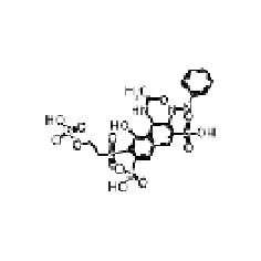 CC(=O)Nc1c(N=Nc2ccccc2)c(S(=O)(=O)O)cc2cc(S(=O)(=O)O)c(S(=O)(=O)CCOS(=O)(=O)O)c(O)c12